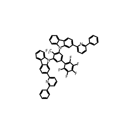 Fc1c(F)c(F)c(-c2cc(-n3c4ccccc4c4ccc(-c5cccc(-c6ccccc6)n5)cc43)c(C(F)(F)F)c(-n3c4ccccc4c4ccc(-c5cccc(-c6ccccc6)n5)cc43)c2)c(F)c1F